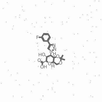 CC1(C)OC[C@H]2O[C@@H](C(=O)O)[C@H](O)[C@@H](n3cc(-c4cccc(F)c4)nn3)[C@H]2O1